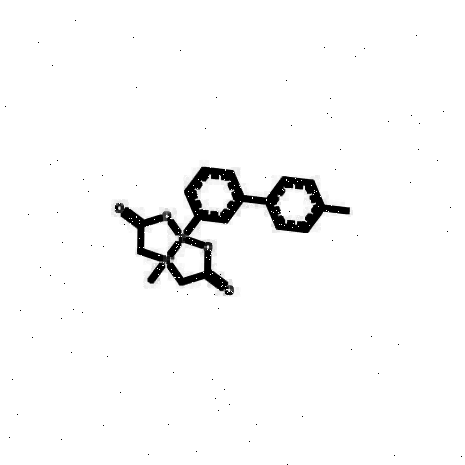 Cc1ccc(-c2cccc([B-]34OC(=O)C[N+]3(C)CC(=O)O4)c2)cc1